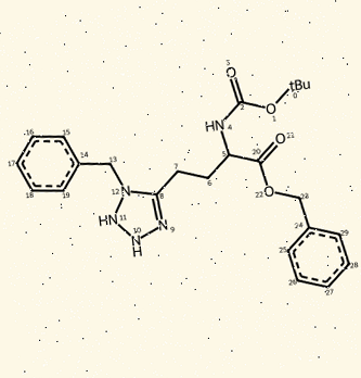 CC(C)(C)OC(=O)NC(CCC1=NNNN1Cc1ccccc1)C(=O)OCc1ccccc1